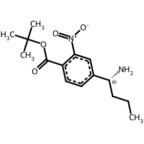 CCC[C@@H](N)c1ccc(C(=O)OC(C)(C)C)c([N+](=O)[O-])c1